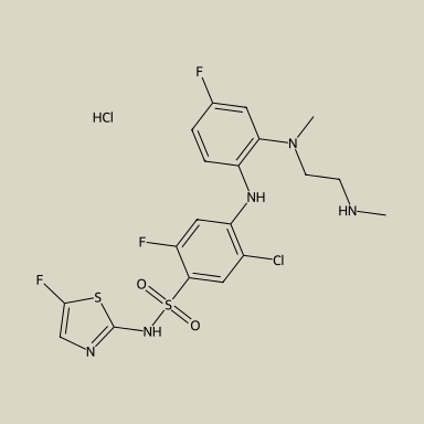 CNCCN(C)c1cc(F)ccc1Nc1cc(F)c(S(=O)(=O)Nc2ncc(F)s2)cc1Cl.Cl